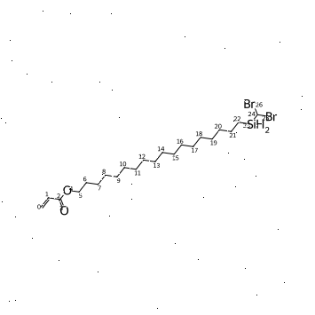 C=CC(=O)OCCCCCCCCCCCCCCCCCC[SiH2]C(Br)Br